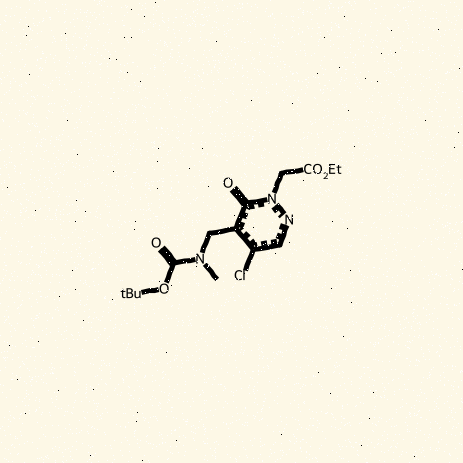 CCOC(=O)Cn1ncc(Cl)c(CN(C)C(=O)OC(C)(C)C)c1=O